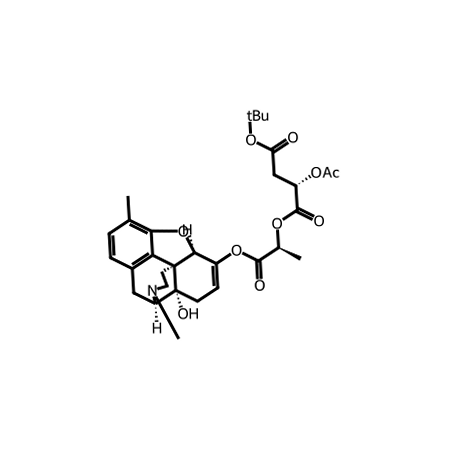 CC(=O)O[C@@H](CC(=O)OC(C)(C)C)C(=O)O[C@@H](C)C(=O)OC1=CC[C@@]2(O)[C@H]3Cc4ccc(C)c5c4[C@@]2(CCN3C)[C@H]1O5